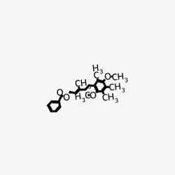 COc1c(C)c(C)c(OC)c(CC/C(C)=C/COC(=O)c2ccccc2)c1C